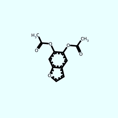 CC(=O)Oc1cc2ccoc2cc1OC(C)=O